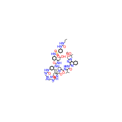 CCCNC(=O)Nc1cccc(S(=O)(=O)Nc2cccc([C@@H](CC(=O)O)NC(=O)Nc3ccc(NC(=O)N(C)CCN(C)CCN(C)CC(=O)N[C@@H]([SiH2]CC(N)=O)C(=O)N4CCC[C@H]4C(=O)N[C@H](C(=O)Nc4nc5ccccc5c5c4nc(COCC)n5CC(C)(C)O)C(C)C)cc3)c2)c1